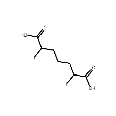 O=C(O)C(I)CCCC(I)C(=O)O